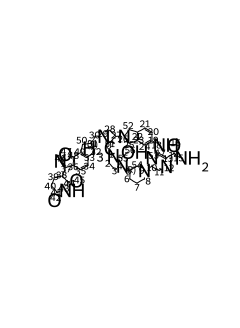 CN1CCN([C@@H]2CCCN(c3cnc(C(N)=O)c(Nc4ccc5c(c4)CN(C4CN(C[C@H]6Cc7ccc8c(C9CCC(=O)NC9=O)noc8c7C6)C4)C5)n3)C2)C1O